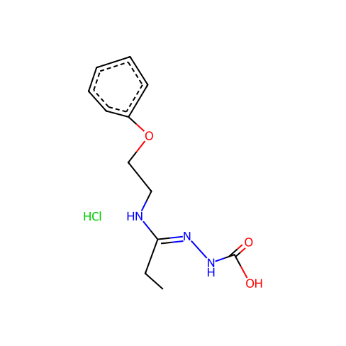 CCC(=NNC(=O)O)NCCOc1ccccc1.Cl